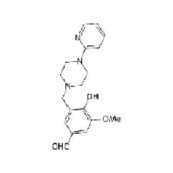 COc1cc(C=O)cc(CN2CCN(c3ccccn3)CC2)c1O